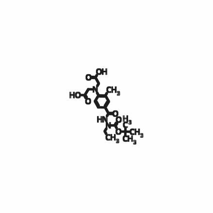 CCN(NC(=O)c1ccc(N(CC(=O)O)CC(=O)O)c(C)c1)C(=O)OC(C)(C)C